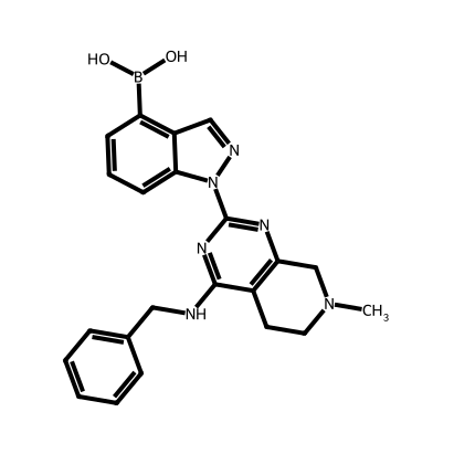 CN1CCc2c(nc(-n3ncc4c(B(O)O)cccc43)nc2NCc2ccccc2)C1